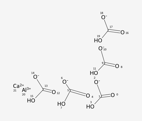 O=C([O-])O.O=C([O-])O.O=C([O-])O.O=C([O-])O.O=C([O-])O.[Al+3].[Ca+2]